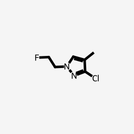 Cc1cn(CCF)nc1Cl